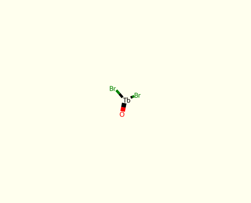 [O]=[Tb]([Br])[Br]